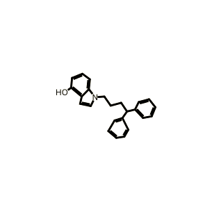 Oc1cccc2c1ccn2CCCC(c1ccccc1)c1ccccc1